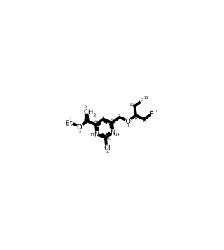 C=C(OCC)c1cc(COC(CF)CF)nc(Cl)n1